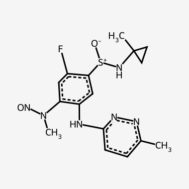 Cc1ccc(Nc2cc([S+]([O-])NC3(C)CC3)c(F)cc2N(C)N=O)nn1